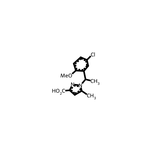 COc1ccc(Cl)cc1C(C)n1nc(C(=O)O)cc1C